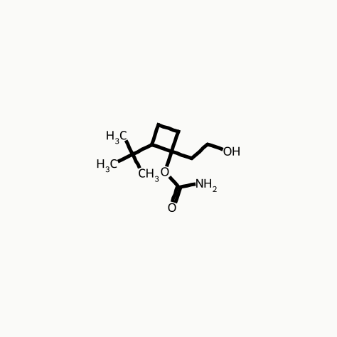 CC(C)(C)C1CCC1(CCO)OC(N)=O